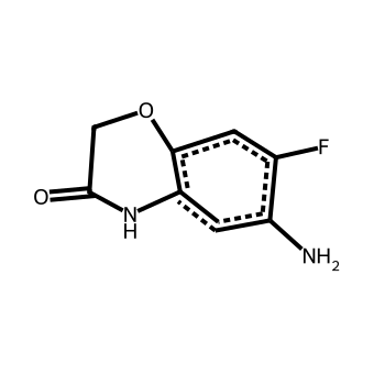 Nc1cc2c(cc1F)OCC(=O)N2